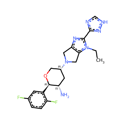 CCn1c(-c2nc[nH]n2)nc2c1CN([C@H]1CO[C@H](c3cc(F)ccc3F)[C@@H](N)C1)C2